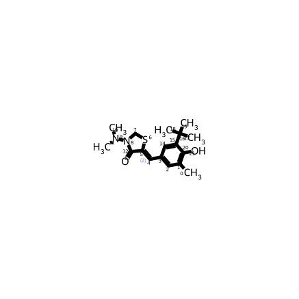 Cc1cc(/C=C2\SCN(N(C)C)C2=O)cc(C(C)(C)C)c1O